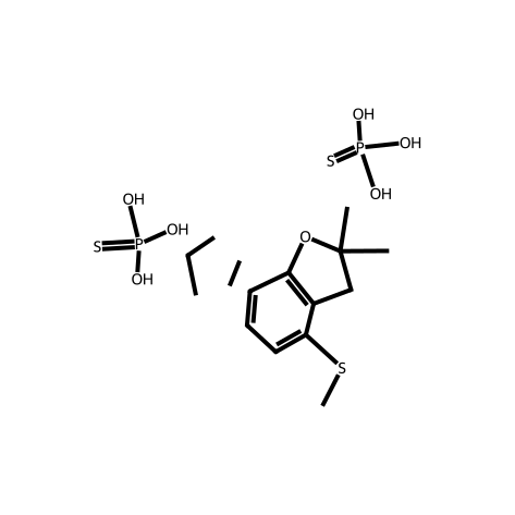 CC.CCC.CSc1cccc2c1CC(C)(C)O2.OP(O)(O)=S.OP(O)(O)=S